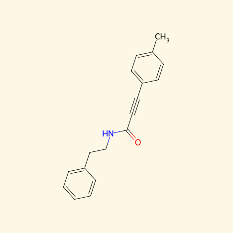 Cc1ccc(C#CC(=O)NCCc2ccccc2)cc1